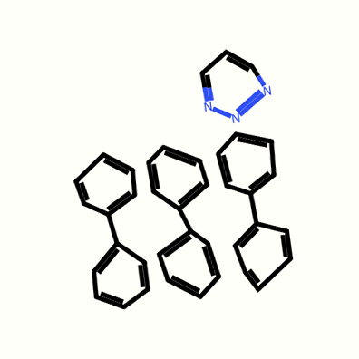 c1ccc(-c2ccccc2)cc1.c1ccc(-c2ccccc2)cc1.c1ccc(-c2ccccc2)cc1.c1cnnnc1